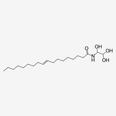 CCCCCCCCC=CCCCCCCCC(=O)NC(O)C(O)O